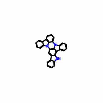 c1ccc2c(c1)[nH]c1c2cc2c3c1c1ccccc1n3c1cccc3c4ccccc4n2c31